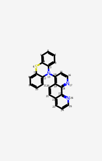 c1ccc2c(c1)Sc1ccccc1N2c1ccnc2c1ccc1cccnc12